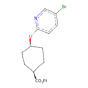 CCOC(=O)[C@H]1CC[C@@H](Oc2ccc(Br)cn2)CC1